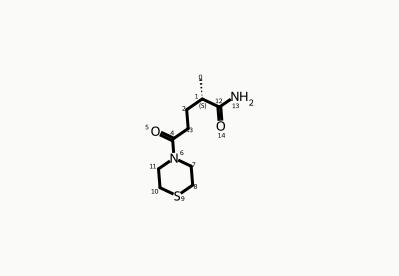 C[C@@H](C[CH]C(=O)N1CCSCC1)C(N)=O